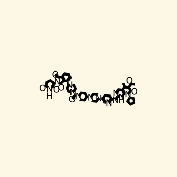 CC(=O)c1c(C)c2cnc(Nc3ccc(N4CCN(C5CCN(C(=O)N6CCN(c7cccc8c7C(=O)N(C7CCC(=O)NC7=O)C8=O)CC6)CC5)CC4)cn3)nc2n(C2CCCC2)c1=O